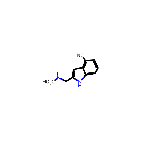 N#Cc1cccc2[nH]c(CNC(=O)O)cc12